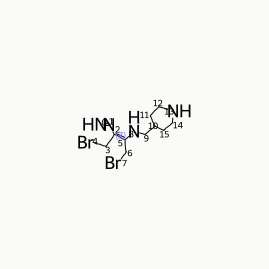 N=N/C(CBr)=C(/CBr)NCC1CCNCC1